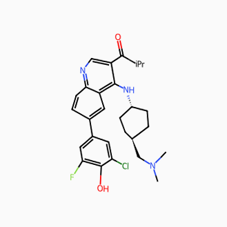 CC(C)C(=O)c1cnc2ccc(-c3cc(F)c(O)c(Cl)c3)cc2c1N[C@H]1CC[C@H](CN(C)C)CC1